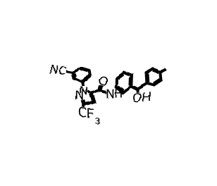 Cc1ccc(C(O)c2cccc(NC(=O)c3cc(C(F)(F)F)nn3-c3cccc(C#N)c3)c2)cc1